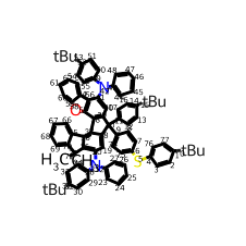 CC(C)(C)c1ccc(Sc2ccc(C3(c4ccc(C(C)(C)C)cc4)c4cc(N(c5ccccc5)c5ccc(C(C)(C)C)cc5)c5c(c4-c4c3cc(N(c3ccccc3)c3ccc(C(C)(C)C)cc3)c3c4oc4ccccc43)-c3ccccc3C5(C)C)cc2)cc1